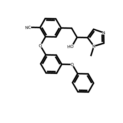 Cn1cncc1C(O)Cc1ccc(C#N)c(Oc2cccc(Oc3ccccc3)c2)c1